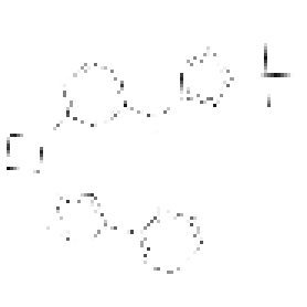 CC(C)(C)c1cc(Nc2ccnc(N3CC[C@H]3c3cc(-c4ncccn4)no3)n2)n[nH]1